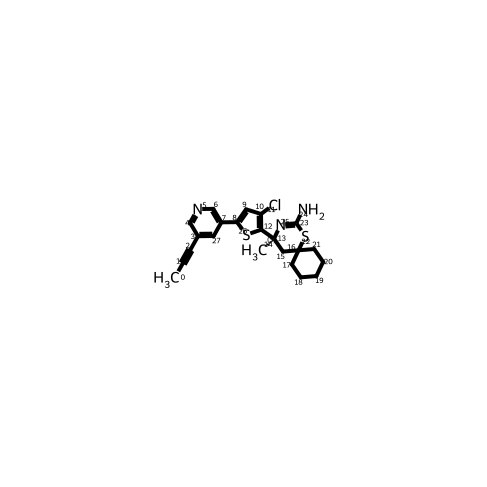 CC#Cc1cncc(-c2cc(Cl)c([C@]3(C)CC4(CCCCC4)SC(N)=N3)s2)c1